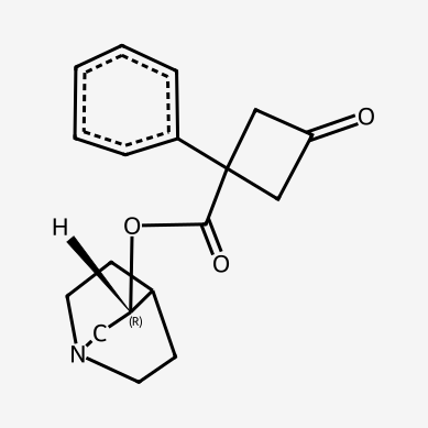 O=C1CC(C(=O)O[C@H]2CN3CCC2CC3)(c2ccccc2)C1